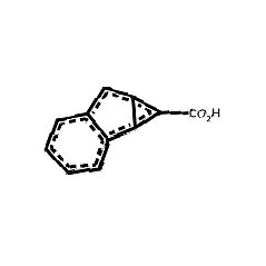 O=C(O)c1c2cc3ccccc3c1-2